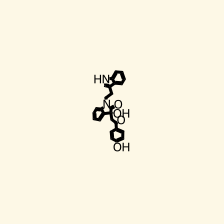 O=C(C[C@]1(O)C(=O)N(CCc2c[nH]c3ccccc23)c2ccccc21)c1ccc(O)cc1